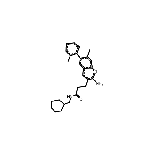 Cc1ccccc1-c1cc2cc(CCC(=O)NCC3CCCCC3)c(N)nc2cc1C